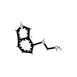 CCOc1cccc2co[c]c12